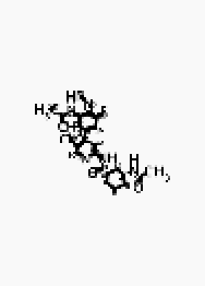 CC(=O)N[C@@H]1CCC[C@H](C(=O)Nc2cc(-c3cc(F)c(N=N)c(NC(C)C)c3)c(Cl)cn2)C1